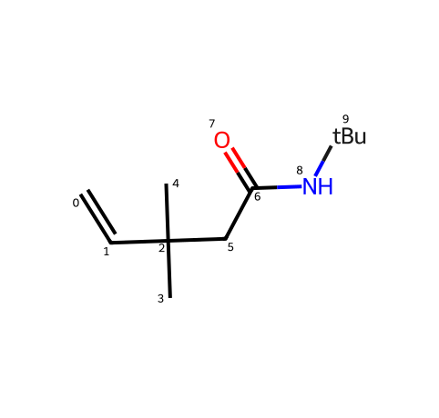 C=CC(C)(C)CC(=O)NC(C)(C)C